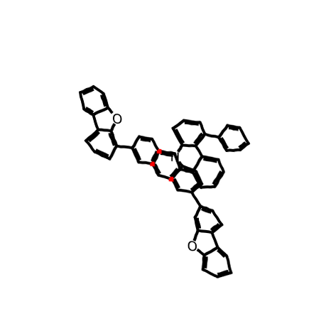 c1ccc(-c2ccccc2-c2c(-c3ccccc3)cccc2N(c2ccc(-c3ccc4c(c3)oc3ccccc34)cc2)c2ccc(-c3cccc4c3oc3ccccc34)cc2)cc1